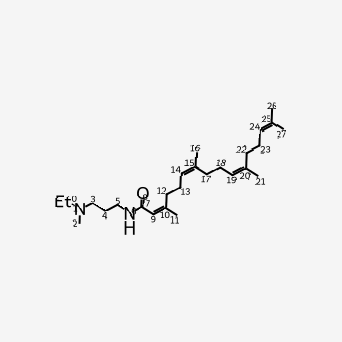 CCN(C)CCCNC(=O)C=C(C)CCC=C(C)CCC=C(C)CCC=C(C)C